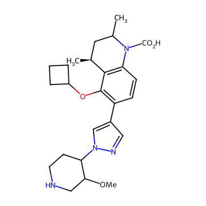 COC1CNCCC1n1cc(-c2ccc3c(c2OC2CCC2)[C@@H](C)CC(C)N3C(=O)O)cn1